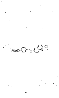 COc1ccc(COc2ccc3nc(Cl)ccc3c2)cc1